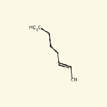 [CH]C=CCCCC(=O)O